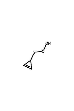 OOSC1C=C1